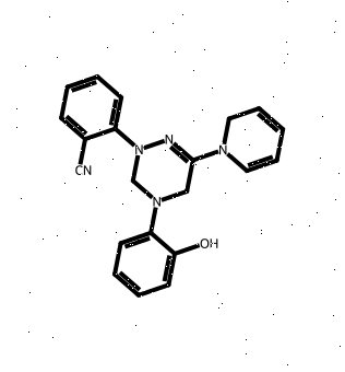 N#Cc1ccccc1N1CN(c2ccccc2O)CC(N2C=CC=CC2)=N1